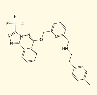 Cc1ccc(CCNCc2cccc(COc3nn4c(C(F)(F)F)nnc4c4ccccc34)n2)cc1